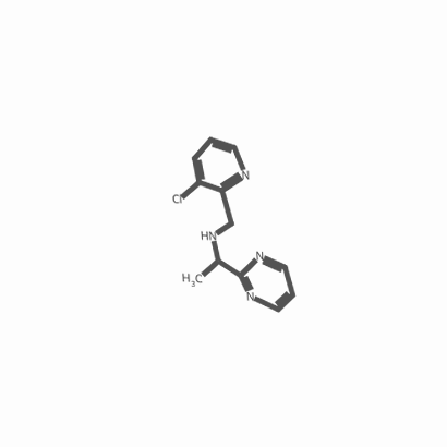 CC(NCc1ncccc1Cl)c1ncccn1